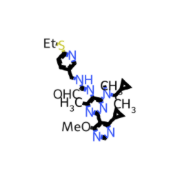 CCSc1ccc(CN/C(C=O)=N/c2c(C)nc(-c3c(OC)ncnc3C3CC3)nc2N(C)[C@@H](C)C2CC2)cn1